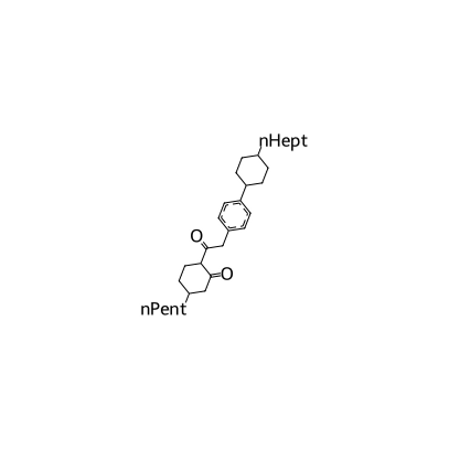 CCCCCCCC1CCC(c2ccc(CC(=O)C3CCC(CCCCC)CC3=O)cc2)CC1